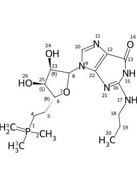 C=P(C)(C)CC[C@H]1OC(n2cnc3c(=O)[nH]c(NCCC)nc32)[C@H](O)[C@@H]1O